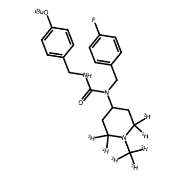 [2H]C([2H])([2H])N1C([2H])([2H])CC(N(Cc2ccc(F)cc2)C(=O)NCc2ccc(OCC(C)C)cc2)CC1([2H])[2H]